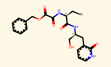 CC(C)C[C@H](NC(=O)C(=O)OCc1ccccc1)C(=O)N[C@H](CO)Cc1ccc[nH]c1=O